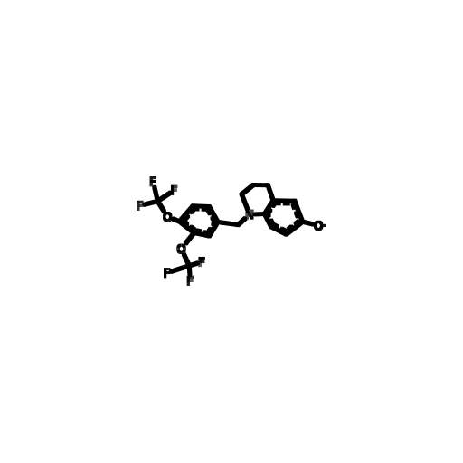 [O]c1ccc2c(c1)CCCN2Cc1ccc(OC(F)(F)F)c(OC(F)(F)F)c1